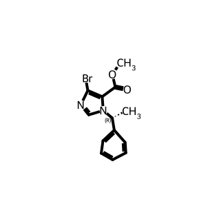 COC(=O)c1c(Br)ncn1[C@H](C)c1ccccc1